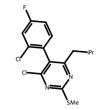 CSc1nc(Cl)c(-c2ccc(F)cc2Cl)c(CC(C)C)n1